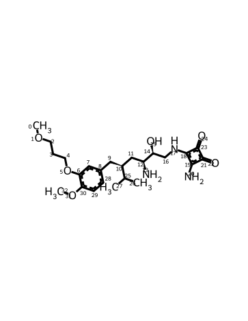 COCCCOc1cc(C[C@@H](C[C@H](N)[C@@H](O)CNc2c(N)c(=O)c2=O)C(C)C)ccc1OC